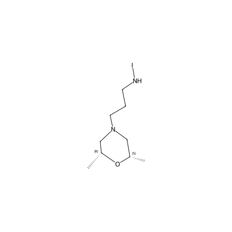 C[C@@H]1CN(CCCNI)C[C@H](C)O1